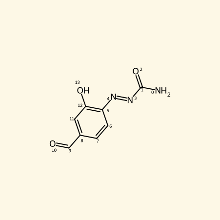 NC(=O)N=Nc1ccc(C=O)cc1O